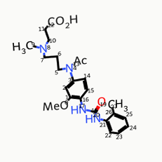 COc1cc(N(CCCN(C)CCC(=O)O)C(C)=O)ccc1NC(=O)Nc1ccccc1C